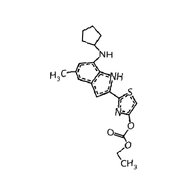 CCOC(=O)Oc1csc(-c2cc3cc(C)cc(NC4CCCC4)c3[nH]2)n1